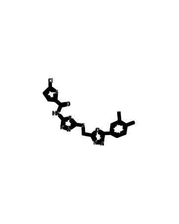 Cc1ccc(-c2nnc(CSc3nnc(NC(=O)c4ccc(Cl)s4)s3)o2)cc1C